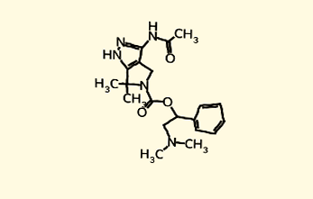 CC(=O)Nc1n[nH]c2c1CN(C(=O)OC(CN(C)C)c1ccccc1)C2(C)C